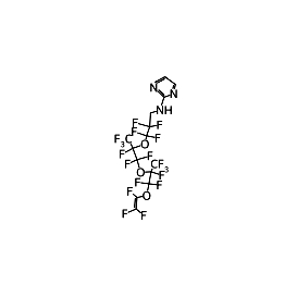 FC(F)=C(F)OC(F)(F)C(F)(OC(F)(F)C(F)(OC(F)(F)C(F)(F)CNc1ncccn1)C(F)(F)F)C(F)(F)F